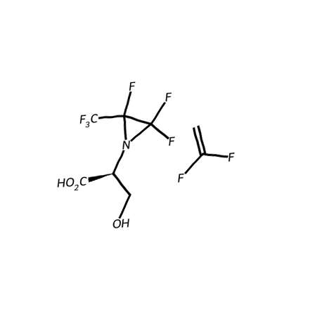 C=C(F)F.O=C(O)[C@H](CO)N1C(F)(F)C1(F)C(F)(F)F